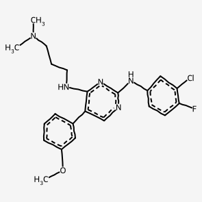 COc1cccc(-c2cnc(Nc3ccc(F)c(Cl)c3)nc2NCCCN(C)C)c1